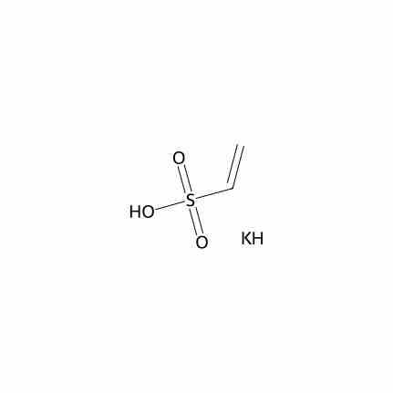 C=CS(=O)(=O)O.[KH]